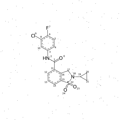 O=C(Nc1ccc(F)c(Cl)c1)c1cccc2c1CN(C1CC1)S2(=O)=O